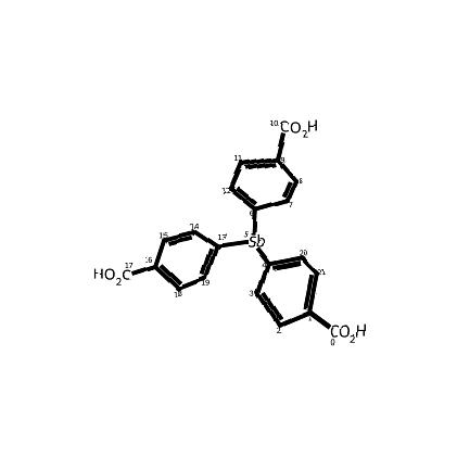 O=C(O)c1cc[c]([Sb]([c]2ccc(C(=O)O)cc2)[c]2ccc(C(=O)O)cc2)cc1